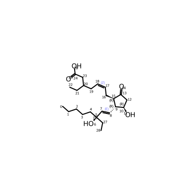 CCCCC[C@](O)(/C=C/[C@H]1[C@H](O)CC(=O)[C@@H]1C/C=C\CC(CC)CC(=O)O)CC